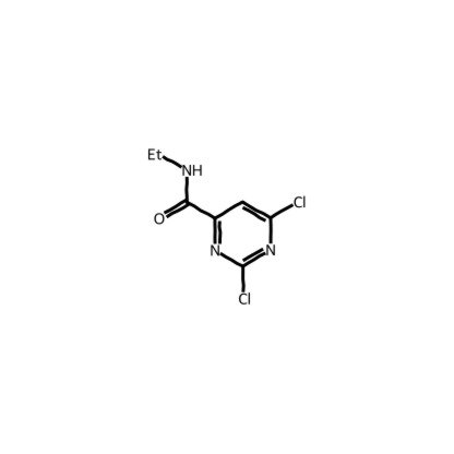 CCNC(=O)c1cc(Cl)nc(Cl)n1